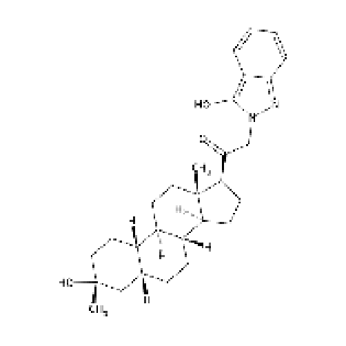 C[C@@]1(O)CC[C@H]2[C@H](CC[C@@H]3[C@@H]2CC[C@]2(C)[C@@H](C(=O)Cn4nc5ccccc5c4O)CC[C@@H]32)C1